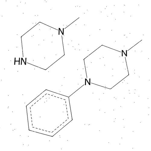 CN1CCN(c2ccccc2)CC1.CN1CCNCC1